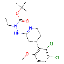 CCN(NC1=NCCC(c2c(OC)ccc(Cl)c2Cl)C1)C(=O)OC(C)(C)C